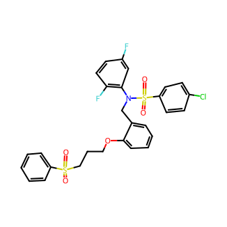 O=S(=O)(CCCOc1ccccc1CN(c1cc(F)ccc1F)S(=O)(=O)c1ccc(Cl)cc1)c1ccccc1